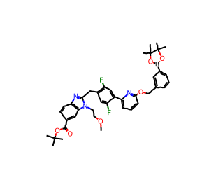 COCCn1c(Cc2cc(F)c(-c3cccc(OCc4cccc(B5OC(C)(C)C(C)(C)O5)c4)n3)cc2F)nc2ccc(C(=O)OC(C)(C)C)cc21